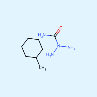 CC1CCCCC1.NC(=O)N(N)N